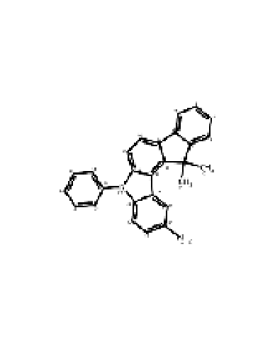 CC1(C)c2ccccc2-c2ccc3c(c21)c1cc(N)ccc1n3-c1ccccc1